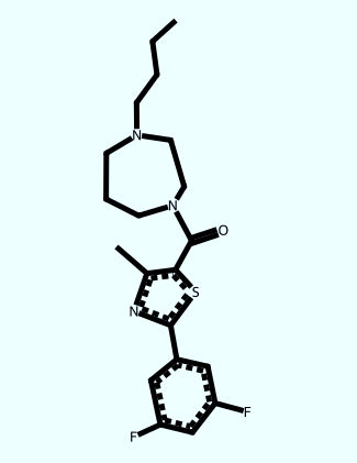 CCCCN1CCCN(C(=O)c2sc(-c3cc(F)cc(F)c3)nc2C)CC1